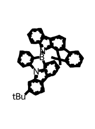 CC(C)(C)c1ccc2c3cccc4c3n(c2c1)-c1ccccc1B4n1c2ccccc2c2ccc3c(c21)C(C)(C)c1ccccc1-3